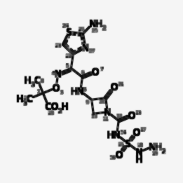 CC(C)(O/N=C(\C(=O)NC1CN(C(=O)NS(=O)(=O)NN)C1=O)c1csc(N)n1)C(=O)O